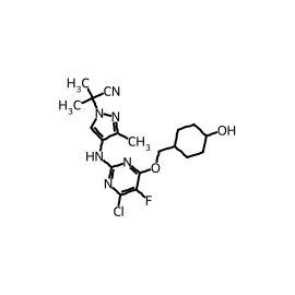 Cc1nn(C(C)(C)C#N)cc1Nc1nc(Cl)c(F)c(OCC2CCC(O)CC2)n1